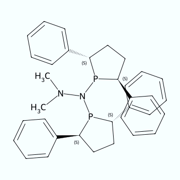 CN(C)N(P1[C@H](c2ccccc2)CC[C@H]1c1ccccc1)P1[C@H](c2ccccc2)CC[C@H]1c1ccccc1